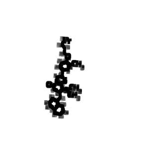 Cc1cc(-c2cn3c(=O)cc(Cc4cccc5ccccc45)c(N(C)C)c3s2)ccc1OCCCC(C)C